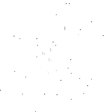 Cn1c(N2CCc3cc(C(=O)O)ccc3C2C2CCCC2)nc(-c2nc3ccccc3o2)c(O)c1=O